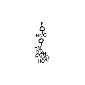 Cc1nc(NCc2ccc(NC(=O)c3ccc(F)cc3)cc2)nc2c1NC(O)[C@]1(CCOC1)N2C